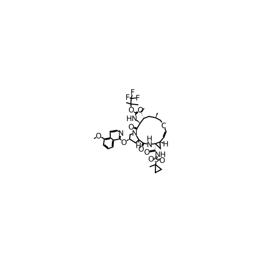 CC[C@@H]1C[C@@H](C)CCC=C[C@@H]2C[C@@]2(C(=O)NS(=O)(=O)C2(C)CC2)NC(=O)[C@@H]2C[C@@H](Oc3nccc4c(OC)cccc34)CN2C(=O)[C@H]1NC(=O)OC(C)(C)C(F)(F)F